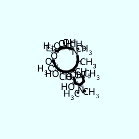 CC[C@H]1OC(=O)[C@H](C)[C@@H](O)[C@H](C)[C@@H](O[C@@H]2O[C@H](C)C[C@H](N(C)C)[C@H]2O)[C@@](C)(O)C[C@@H](C)CN(C)[C@H](C)[C@@H](O)[C@]1(C)O